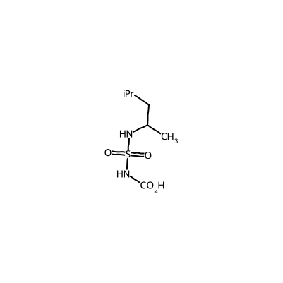 CC(C)CC(C)NS(=O)(=O)NC(=O)O